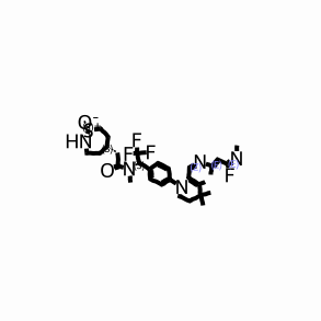 C\N=C(F)/C=C(C)/N=C\C1=C(C)C(C)(C)CCN1c1ccc([C@H](N(C)C(=O)C[C@@H]2CCN[S@+]([O-])CC2)C(F)(F)F)cc1